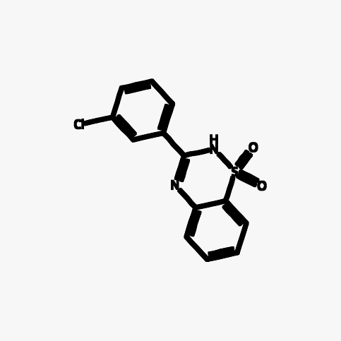 O=S1(=O)NC(c2cccc(Cl)c2)=Nc2ccccc21